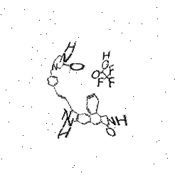 O=C(O)C(F)(F)F.O=C1CN(Cc2ccc(/C=C/c3n[nH]c4cc(/C=C5/C(=O)NCC5c5ccccc5)ccc34)cc2)CCN1